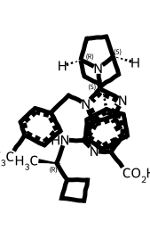 C[C@@H](Nc1nc(C(=O)O)nc2nc(N3[C@@H]4CC[C@H]3C[C@H](c3ccccc3)C4)n(Cc3ccc(C(F)(F)F)cc3)c12)C1CCC1